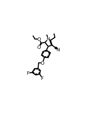 CCOC(=O)C1C(c2ccc(OCc3cc(F)cc(F)c3)cc2)C(C#N)=C(CC)N1C